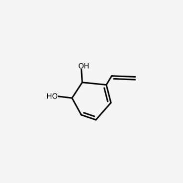 C=CC1=CC=CC(O)C1O